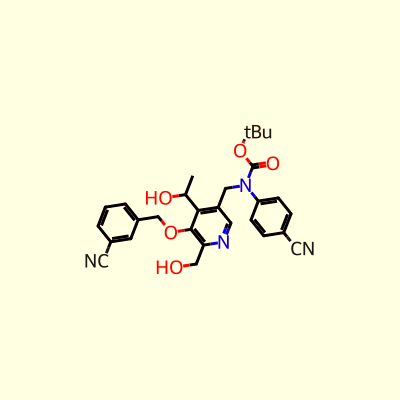 CC(O)c1c(CN(C(=O)OC(C)(C)C)c2ccc(C#N)cc2)cnc(CO)c1OCc1cccc(C#N)c1